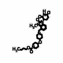 CCCCOC(=O)N1CCC(OC2CCN(Cc3cccc4c3n(C)c(=O)n4C3CCC(=O)NC3=O)CC2)CC1